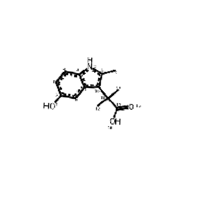 Cc1[nH]c2ccc(O)cc2c1C(C)(C)C(=O)O